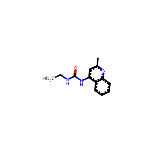 Cc1cc(NC(=O)NCC(=O)O)c2ccccc2n1